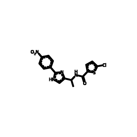 CC(NC(=O)c1ccc(Cl)s1)c1c[nH]c(-c2ccc([N+](=O)[O-])cc2)n1